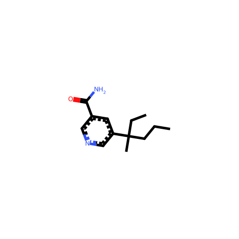 CCCC(C)(CC)c1cncc(C(N)=O)c1